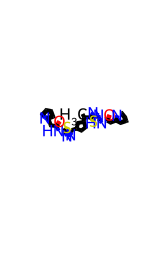 CC(c1nnc(NC(=O)Cc2ccccn2)s1)C1CCC(c2nnc(NC(=O)Cc3ccccn3)s2)C1